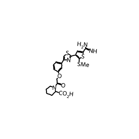 CSc1sc(C(=N)N)cc1-c1nc(-c2cccc(OCC(=O)N3CCCCC3C(=O)O)c2)cs1